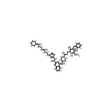 N=C(N)NC(CCC(=O)N1CCC(Nc2nc(NCc3cn(CCCNCCCNC4CCCCC4)nn3)nc3ccccc23)CC1)C(=O)NCc1ccccc1